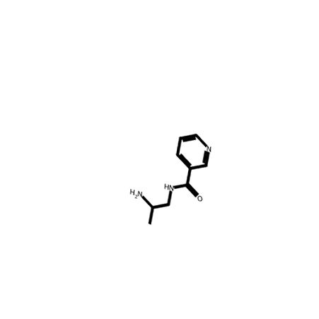 CC(N)CNC(=O)c1cccnc1